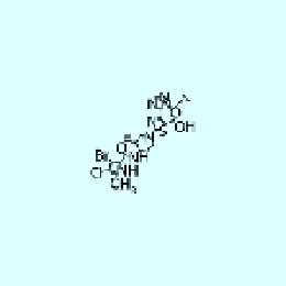 Cc1[nH]c(C(=O)N[C@@H]2CCN(c3nc(-c4ncnn4CC4CC4)c(C(=O)O)s3)C[C@@H]2F)c(Br)c1Cl